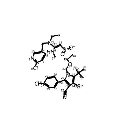 CCN(Cc1ccc(Cl)nc1)C(=C[N+](=O)[O-])NC.CCOCn1c(-c2ccc(Cl)cc2)c(C#N)c(Br)c1C(F)(F)F